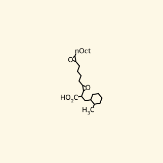 CCCCCCCCC1OC1CCCCC1OC1C(CC1CCCCC1C)C(=O)O